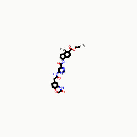 C=CCOC(=O)c1ccc2c(c1C)CC[C@@H]2NC(=O)c1cc(NC(=O)Cc2ccc3c(c2)NC(=O)CO3)ncn1